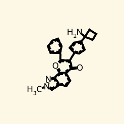 Cn1cc2ccc3c(=O)c(-c4ccc(C5(N)CCC5)cc4)c(-c4ccccc4)oc3c2n1